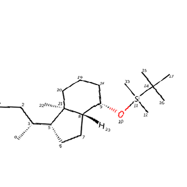 C[C@H](CC=O)[C@H]1CC[C@H]2[C@@H](O[Si](C)(C)C(C)(C)C)CCC[C@]12C